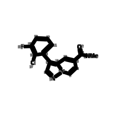 CNC(=O)c1ccn2ncc(-c3cccc(F)c3Cl)c2c1